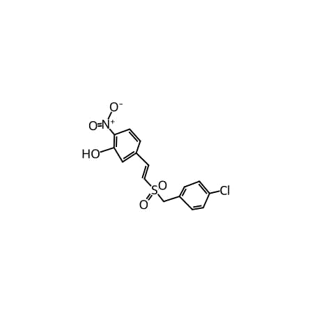 O=[N+]([O-])c1ccc(C=CS(=O)(=O)Cc2ccc(Cl)cc2)cc1O